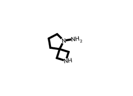 NN1CCCC12CNC2